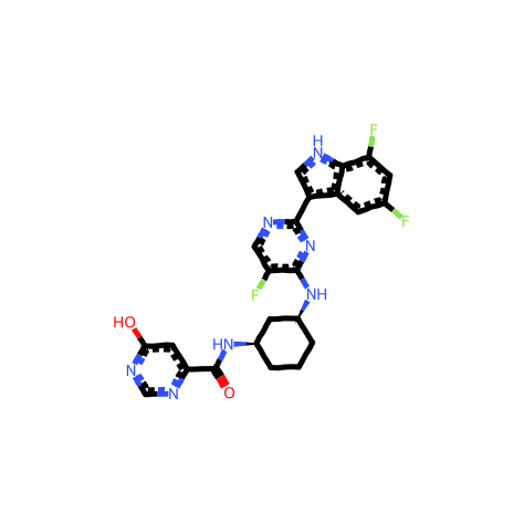 O=C(N[C@@H]1CCC[C@H](Nc2nc(-c3c[nH]c4c(F)cc(F)cc34)ncc2F)C1)c1cc(O)ncn1